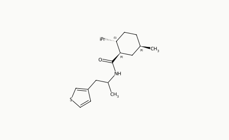 CC(Cc1ccsc1)NC(=O)[C@@H]1C[C@H](C)CC[C@H]1C(C)C